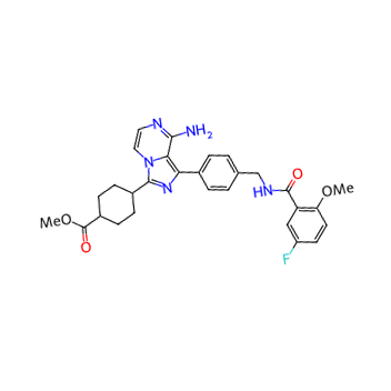 COC(=O)C1CCC(c2nc(-c3ccc(CNC(=O)c4cc(F)ccc4OC)cc3)c3c(N)nccn23)CC1